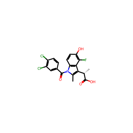 Cc1c([C@H](C)C(=O)O)c2c(F)c(O)ccc2n1C(=O)c1ccc(Cl)c(Cl)c1